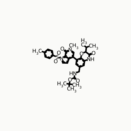 Cc1ccc(S(=O)(=O)n2ccc3c(-c4cc(CNC(=O)OC(C)(C)C)cc5c4OC(C(C)C)C(=O)N5)cn(C)c(=O)c32)cc1